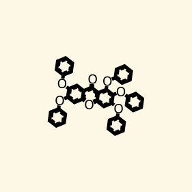 O=c1c2cc(Oc3ccccc3)c(Oc3ccccc3)cc2oc2cc(Oc3ccccc3)c(Oc3ccccc3)c(Oc3ccccc3)c12